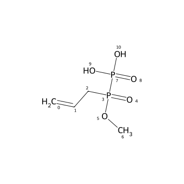 C=CCP(=O)(OC)P(=O)(O)O